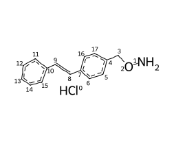 Cl.NOCc1ccc(/C=C/c2ccccc2)cc1